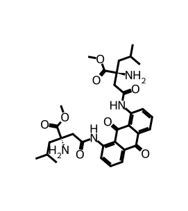 COC(=O)[C@@](N)(CC(=O)Nc1cccc2c1C(=O)c1c(NC(=O)C[C@@](N)(CC(C)C)C(=O)OC)cccc1C2=O)CC(C)C